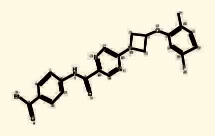 CCC(=O)c1ccc(NC(=O)c2cnc(N3CC(Oc4cc(F)ccc4C)C3)cn2)cc1